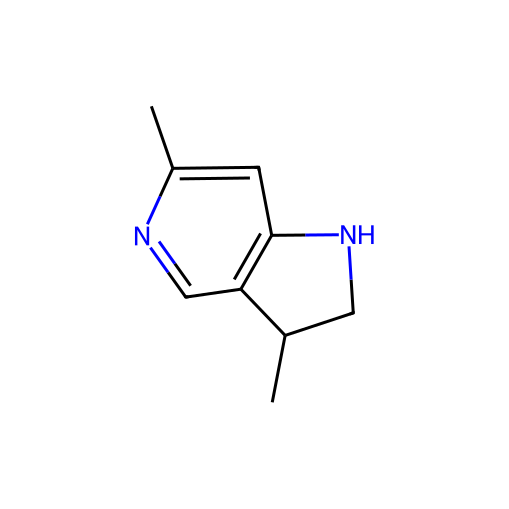 Cc1cc2c(cn1)C(C)CN2